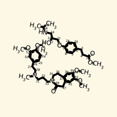 COC(=O)CCc1ccc(OCC(O)CNC(C)C)cc1.COc1ccc(CCN(C)CCCN2CCc3cc(OC)c(OC)cc3CC2=O)cc1OC